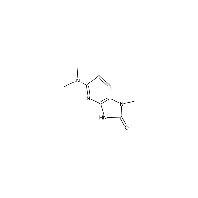 CN(C)c1ccc2c(n1)[nH]c(=O)n2C